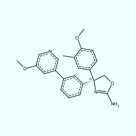 COc1cncc(-c2cccc([C@]3(c4ccc(OC)c(C)c4)COC(N)=N3)c2)c1